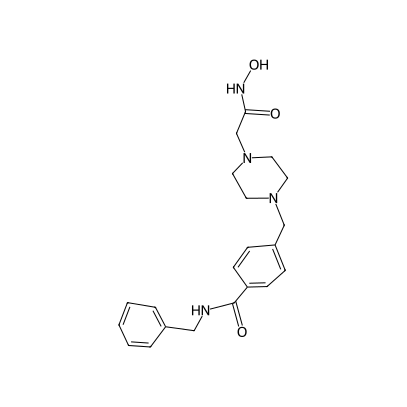 O=C(CN1CCN(Cc2ccc(C(=O)NCc3ccccc3)cc2)CC1)NO